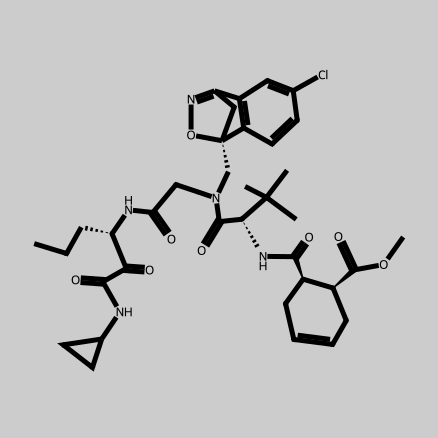 CCC[C@H](NC(=O)CN(C[C@@]12CC(=NO1)c1cc(Cl)ccc12)C(=O)[C@@H](NC(=O)[C@@H]1CC=CC[C@@H]1C(=O)OC)C(C)(C)C)C(=O)C(=O)NC1CC1